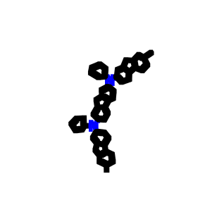 Cc1ccc2c(c1)Cc1cc(N(c3ccccc3)c3ccc4c(c3)Cc3cc(N(c5ccccc5)c5ccc6c(c5)Cc5cc(C)ccc5-6)ccc3-4)ccc1-2